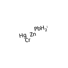 [Cr].[Hg].[PbH2].[Zn]